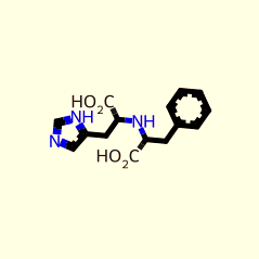 O=C(O)C(Cc1ccccc1)NC(Cc1cnc[nH]1)C(=O)O